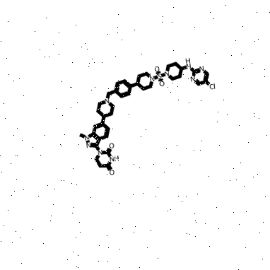 Cn1nc(N2CCC(=O)NC2=O)c2ccc(C3CCN(Cc4ccc(C5CCN(S(=O)(=O)N6CCC(Nc7ncc(Cl)cn7)CC6)CC5)cc4)CC3)cc21